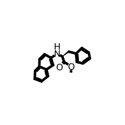 COC(=O)[C@H](Cc1ccccc1)Nc1ccc2ccccc2c1